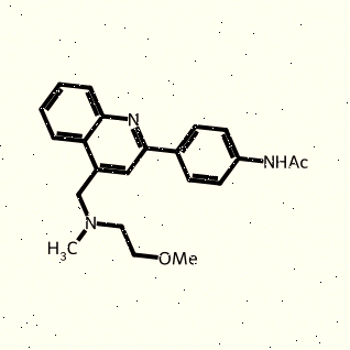 COCCN(C)Cc1cc(-c2ccc(NC(C)=O)cc2)nc2ccccc12